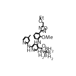 BC(B)(B)NC(=O)c1cnc(Nc2cc(C)ccn2)cc1Nc1cccc(-c2noc(COCC)n2)c1OC